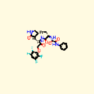 CC(C)C[C@H](NC(=O)C(=O)Nc1ccccc1)C(=O)N[C@@H](C[C@@H]1CCNC1=O)C(=O)COc1c(F)c(F)cc(F)c1F